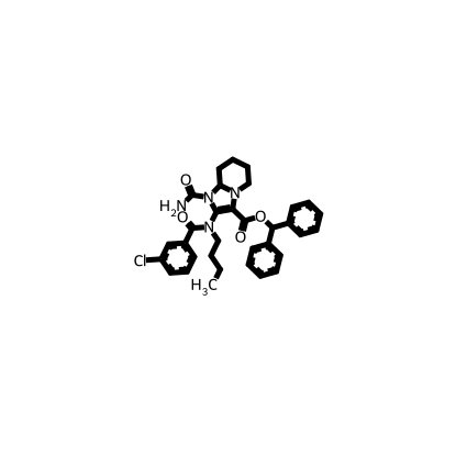 CCCCN(C(=O)c1cccc(Cl)c1)C1=C(C(=O)OC(c2ccccc2)c2ccccc2)N2CCCCC2N1C(N)=O